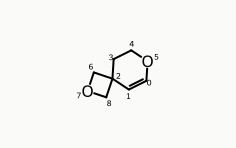 C1=CC2(CCO1)COC2